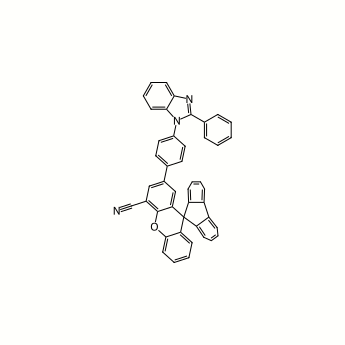 N#Cc1cc(-c2ccc(-n3c(-c4ccccc4)nc4ccccc43)cc2)cc2c1Oc1ccccc1C21c2ccccc2-c2ccccc21